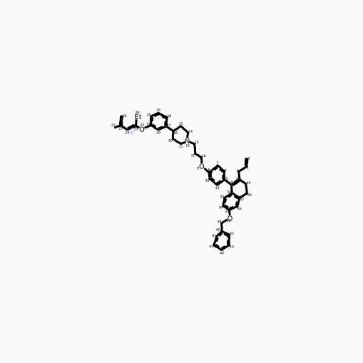 C=CCC1=C(c2ccc(OCCCN3CCC(c4cccc(O/C(=C/C(=C)C)CC)c4)CC3)cc2)c2ccc(OCc3ccccc3)cc2CC1